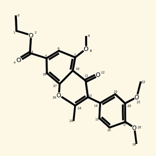 CCOC(=O)c1cc(OC)c2c(=O)c(-c3ccc(OC)c(OC)c3)c(C)oc2c1